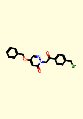 O=C(Cn1ncc(OCc2ccccc2)cc1=O)c1ccc(CBr)cc1